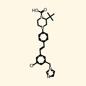 CC(C)(C)C1CN(c2ccc(C=Cc3cc(Cl)cc(Cn4ccnc4)c3)cc2)CCN1C(=O)O